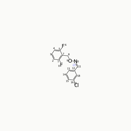 Fc1cccc(F)c1CO/N=[C]\c1cccc(Cl)c1